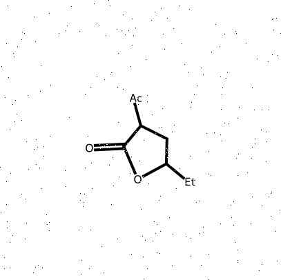 CCC1CC(C(C)=O)C(=O)O1